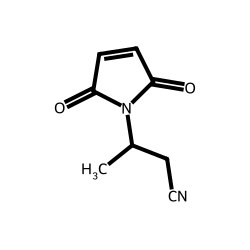 CC(CC#N)N1C(=O)C=CC1=O